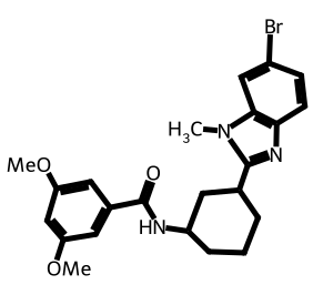 COc1cc(OC)cc(C(=O)NC2CCCC(c3nc4ccc(Br)cc4n3C)C2)c1